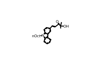 CCCCCCCCn1c2ccccc2c2cc(C=CC(=O)C(C)(C)O)ccc21